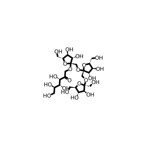 O=C(CO[C@]1(CO[C@]2(CO[C@]3(CO)O[C@H](CO)[C@@H](O)[C@@H]3O)O[C@H](CO)[C@@H](O)[C@@H]2O)O[C@H](CO)[C@@H](O)[C@@H]1O)[C@@H](O)[C@H](O)[C@H](O)CO